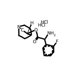 Cl.Cl.NC(C(=O)O[C@H]1CN2CCC1CC2)c1ccccc1F